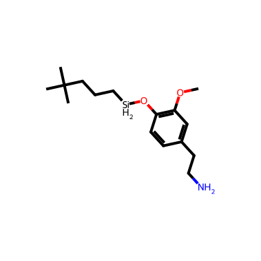 COc1cc(CCN)ccc1O[SiH2]CCCC(C)(C)C